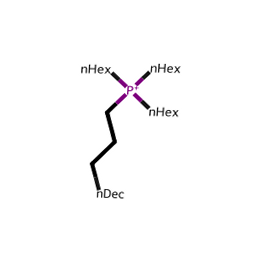 CCCCCCCCCCCCC[P+](CCCCCC)(CCCCCC)CCCCCC